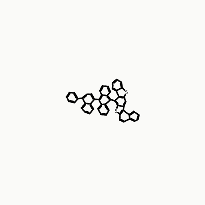 c1ccc(-c2ccc(-c3c4ccccc4c(-c4c5sc6ccc7ccccc7c6c5cc5sc6ccccc6c45)c4ccccc34)c3ccccc23)cc1